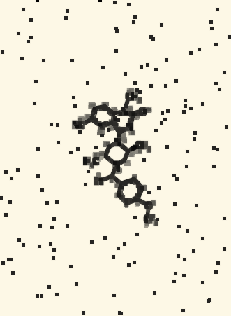 CCC(c1ccc(OC(F)(F)F)cc1)N1C[C@H](C)N(c2nc(=O)n(C)c3ccc(C#N)nc23)C[C@H]1C